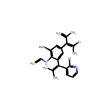 C=CNc1c(NC)cc(/C(C(=C)C)=C(\C)CC)cc1C(=C(C)C)c1cccnc1CC